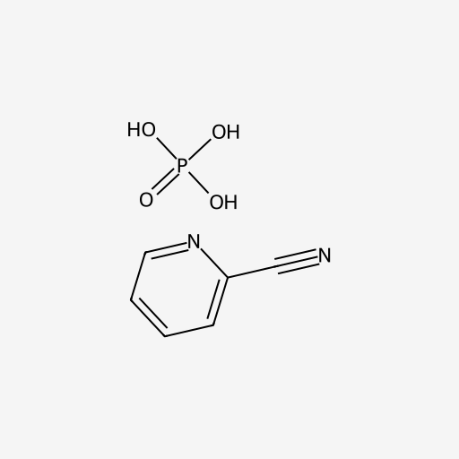 N#Cc1ccccn1.O=P(O)(O)O